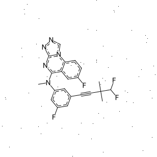 CN(c1cc(F)cc(C#CC(C)(C)C(F)F)c1)c1nc2nncn2c2ccc(F)cc12